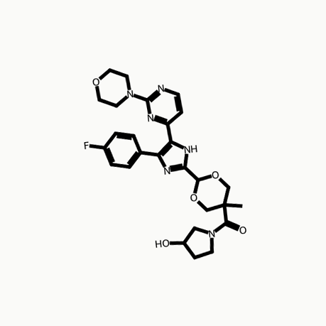 CC1(C(=O)N2CCC(O)C2)COC(c2nc(-c3ccc(F)cc3)c(-c3ccnc(N4CCOCC4)n3)[nH]2)OC1